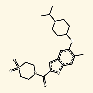 Cc1cc2oc(C(=O)N3CCS(=O)(=O)CC3)cc2cc1OC1CCN(C(C)C)CC1